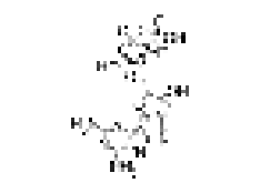 C[C@@]1(C#N)[C@H](O)[C@@H](COP(=O)(O)OP(=O)(O)OP(=O)(O)O)O[C@H]1n1cnc2c(N)nc(N)nc21